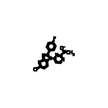 C[S+]([O-])c1nccc(-n2c(-c3ccc(F)cc3)nc3nc(Cl)ccc32)n1